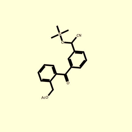 CC(=O)OCc1ccccc1C(=O)c1cccc(C(C#N)O[Si](C)(C)C)c1